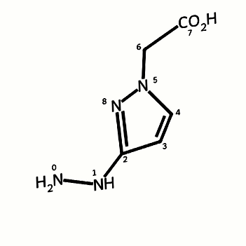 NNc1ccn(CC(=O)O)n1